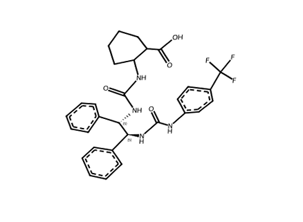 O=C(Nc1ccc(C(F)(F)F)cc1)N[C@@H](c1ccccc1)[C@@H](NC(=O)NC1CCCCC1C(=O)O)c1ccccc1